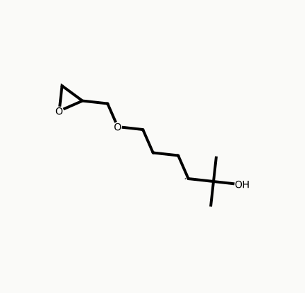 CC(C)(O)[CH]CCCOCC1CO1